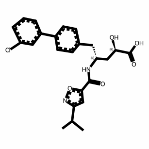 CC(C)c1cc(C(=O)N[C@H](Cc2ccc(-c3cccc(Cl)c3)cc2)C[C@@H](O)C(=O)O)on1